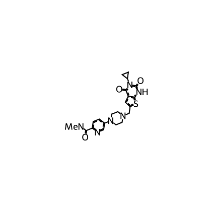 CNC(=O)c1ccc(N2CCN(Cc3cc4c(=O)n(C5CC5)c(=O)[nH]c4s3)CC2)cn1